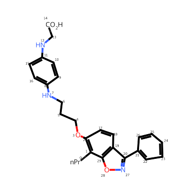 CCCc1c(OCCCNc2ccc(NCC(=O)O)cc2)ccc2c(-c3ccccc3)noc12